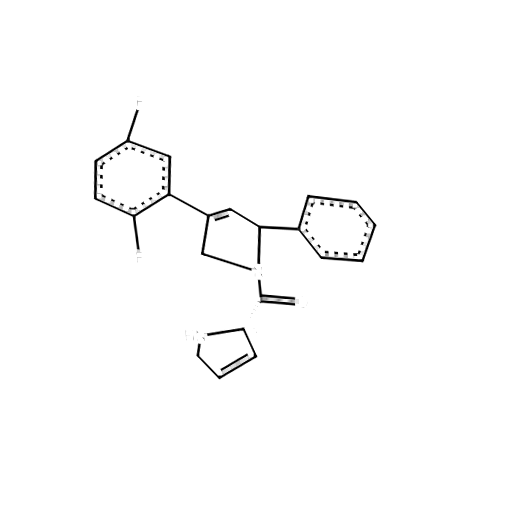 O=C([C@@H]1C=CCN1)N1CC(c2cc(F)ccc2F)=CC1c1ccccc1